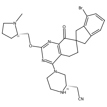 CN1CCC[C@H]1COc1nc2c(c(N3CCN[C@@H](CC#N)C3)n1)CCC1(Cc3cccc(Br)c3C1)C2=O